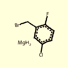 Fc1ccc(Cl)cc1CBr.[MgH2]